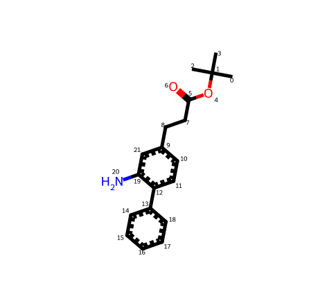 CC(C)(C)OC(=O)CCc1ccc(-c2ccccc2)c(N)c1